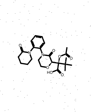 CC(=O)O[C@@](C(=O)O)([C@H]1OCCN(c2ccccc2N2CCCCC2=O)C1=O)C(C)(C)C